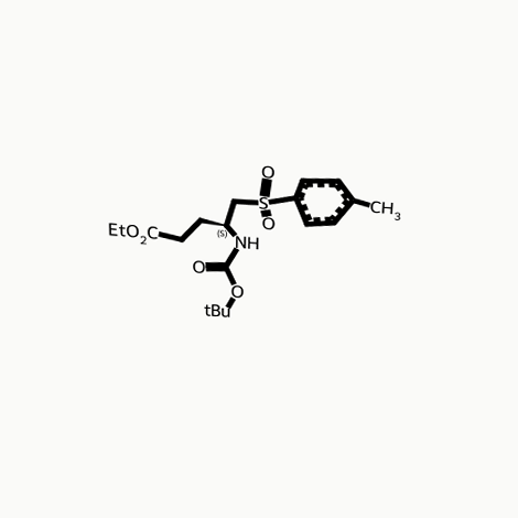 CCOC(=O)CC[C@@H](CS(=O)(=O)c1ccc(C)cc1)NC(=O)OC(C)(C)C